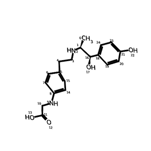 C[C@H](NCCc1ccc(NCC(=O)O)cc1)[C@H](O)c1ccc(O)cc1